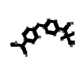 CC(C)(C)C(=O)c1ccc(Cc2ccc(C(=O)C(C)(C)O)cc2)cc1